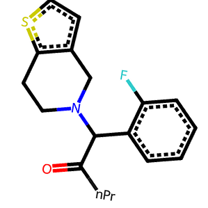 CCCC(=O)C(c1ccccc1F)N1CCc2sccc2C1